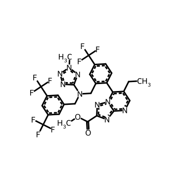 CCc1cnc2nc(C(=O)OC)nn2c1-c1ccc(C(F)(F)F)cc1CN(Cc1cc(C(F)(F)F)cc(C(F)(F)F)c1)c1nnn(C)n1